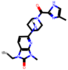 Cc1c[nH]c(C(=O)N2CC3CCC2CN3c2ccc3c(n2)n(C)c(=O)n3CC(C)(C)C)n1